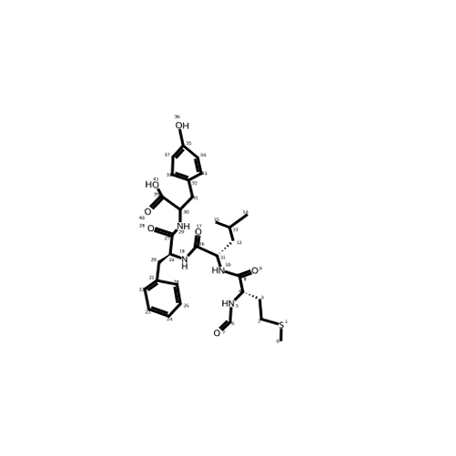 CSCC[C@H](NC=O)C(=O)N[C@@H](CC(C)C)C(=O)N[C@@H](Cc1ccccc1)C(=O)NC(Cc1ccc(O)cc1)C(=O)O